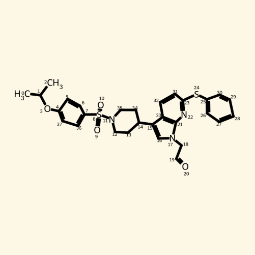 CC(C)Oc1ccc(S(=O)(=O)N2CCC(c3cn(CC=O)c4nc(Sc5ccccc5)ccc34)CC2)cc1